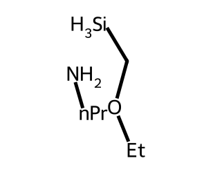 CCCN.CCOC[SiH3]